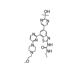 CCNC(=O)Nc1nc2cc(-c3cnc(C(C)(C)O)nc3)cc(-c3nccc(N4CCN(CCOC)CC4)n3)c2s1